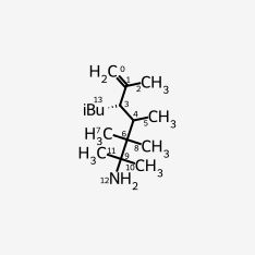 C=C(C)C(C(C)C(C)(C)C(C)(C)N)[C@@H](C)CC